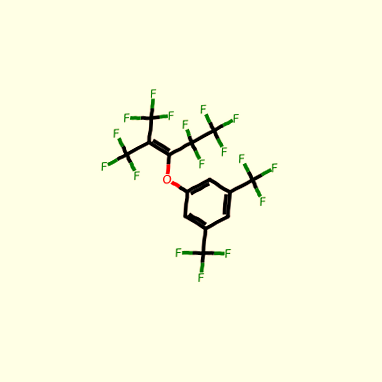 FC(F)(F)C(=C(Oc1cc(C(F)(F)F)cc(C(F)(F)F)c1)C(F)(F)C(F)(F)F)C(F)(F)F